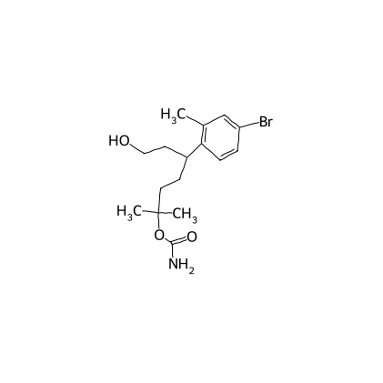 Cc1cc(Br)ccc1C(CCO)CCC(C)(C)OC(N)=O